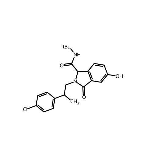 CC(CN1C(=O)c2cc(O)ccc2C1C(=O)NC(C)(C)C)c1ccc(Cl)cc1